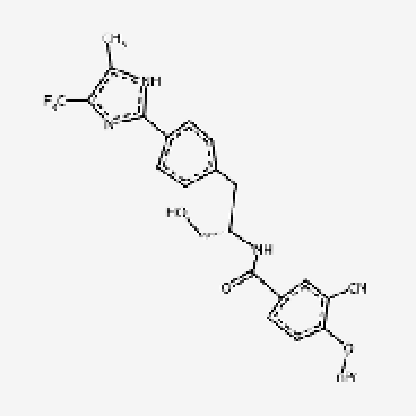 CCCOc1ccc(C(=O)N[C@H](CO)Cc2ccc(-c3nc(C(F)(F)F)c(C)[nH]3)cc2)cc1C#N